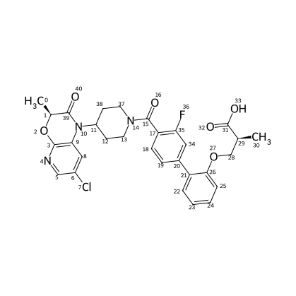 C[C@@H]1Oc2ncc(Cl)cc2N(C2CCN(C(=O)c3ccc(-c4ccccc4OC[C@H](C)C(=O)O)cc3F)CC2)C1=O